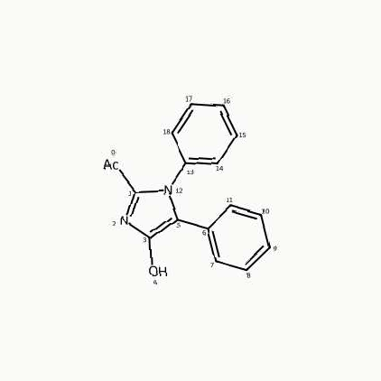 CC(=O)c1nc(O)c(-c2ccccc2)n1-c1ccccc1